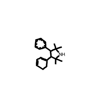 CC1(C)NC(C)(C)C(c2ccccc2)C1C1=CC=CCC1